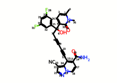 Cc1ccc(C(O)(CC#CC#Cc2c(C(N)=O)ccn3ncc(C#N)c23)c2cc(F)cc(F)c2)c(=O)n1C